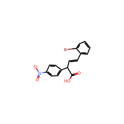 O=C(O)C(C=Cc1ccccc1Br)c1ccc([N+](=O)[O-])cc1